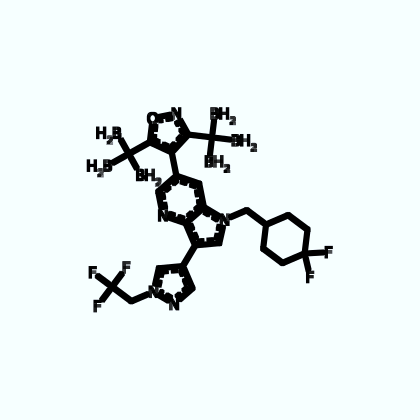 BC(B)(B)c1noc(C(B)(B)B)c1-c1cnc2c(-c3cnn(CC(F)(F)F)c3)cn(CC3CCC(F)(F)CC3)c2c1